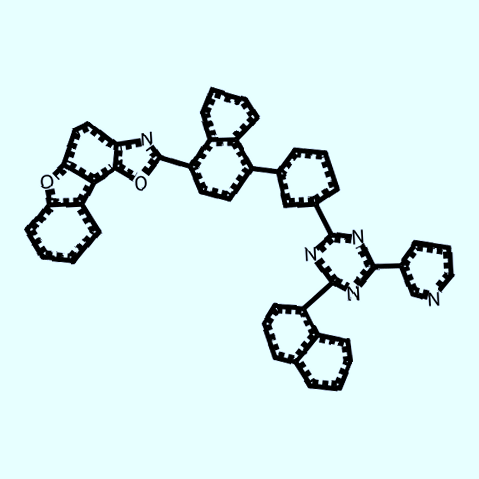 c1cncc(-c2nc(-c3cccc(-c4ccc(-c5nc6ccc7oc8ccccc8c7c6o5)c5ccccc45)c3)nc(-c3cccc4ccccc34)n2)c1